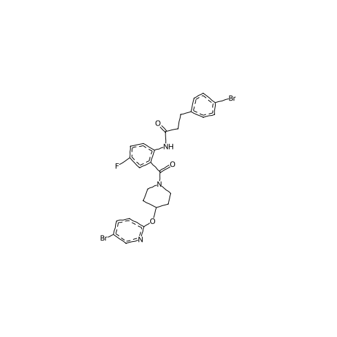 O=C(CCc1ccc(Br)cc1)Nc1ccc(F)cc1C(=O)N1CCC(Oc2ccc(Br)cn2)CC1